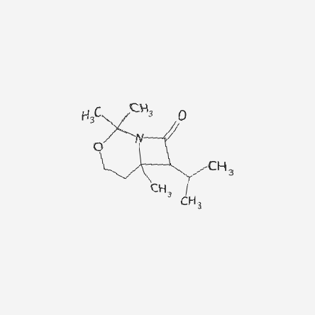 CC(C)C1C(=O)N2C(C)(C)OCCC12C